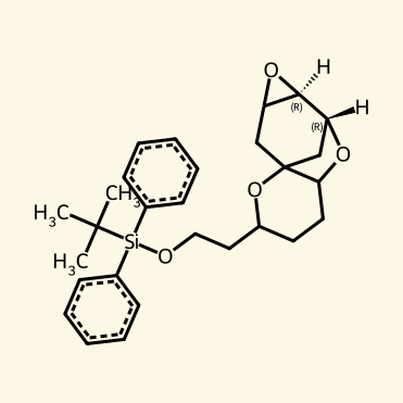 CC(C)(C)[Si](OCCC1CCC2O[C@@H]3CC2(CC2O[C@H]23)O1)(c1ccccc1)c1ccccc1